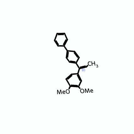 C/C=C(\c1ccc(-c2ccccc2)cc1)c1ccc(OC)c(OC)c1